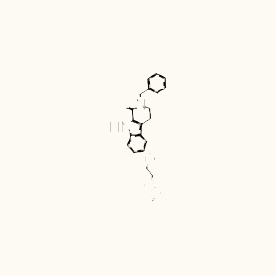 COOCCOc1ccc2[nH]c3c(c2c1)CCN(Cc1ccccc1)C3=S